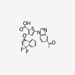 CC(=O)c1ccc2c(c1)ncn2-c1cc(O[C@H](C)c2ccccc2C(F)(F)F)c(C(=O)O)s1